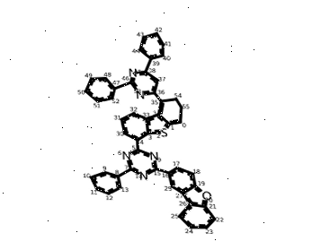 C1=c2sc3c(-c4nc(-c5ccccc5)nc(-c5ccc6oc7ccccc7c6c5)n4)cccc3c2=C(c2cc(-c3ccccc3)nc(-c3ccccc3)n2)CC1